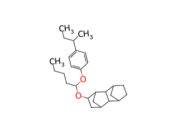 CCCCC(Oc1ccc(C(C)CC)cc1)OC1CC2CC1C1C3CCC(C3)C21